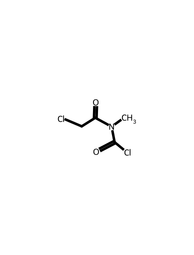 CN(C(=O)Cl)C(=O)CCl